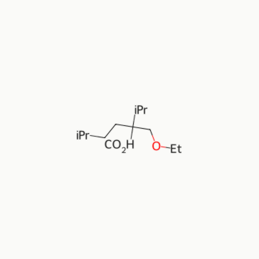 CCOCC(CCC(C)C)(C(=O)O)C(C)C